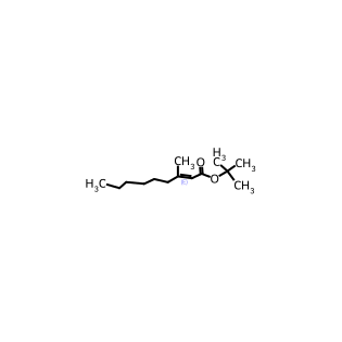 CCCCCC/C(C)=C/C(=O)OC(C)(C)C